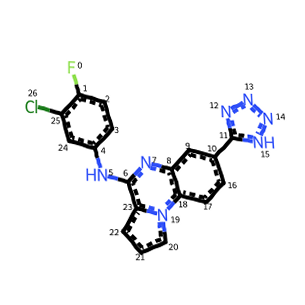 Fc1ccc(Nc2nc3cc(-c4nnn[nH]4)ccc3n3cccc23)cc1Cl